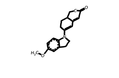 COc1ccc2c(c1)CCN2C1=CC2=CC(=O)CCC2CC1